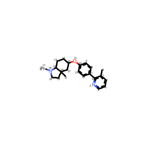 Cc1cccnc1-c1ccc(OC2CCC3N(C(C)C)CCC3(C)C2)cc1